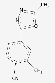 Cc1nnc(-c2ccc(C#N)c(C)c2)o1